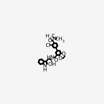 CN(C)C(=O)c1ccc(-c2cc3c(c(C(=O)N[C@@H](CO)Cc4c[nH]c5ccccc45)c2)OCCO3)cc1Cl